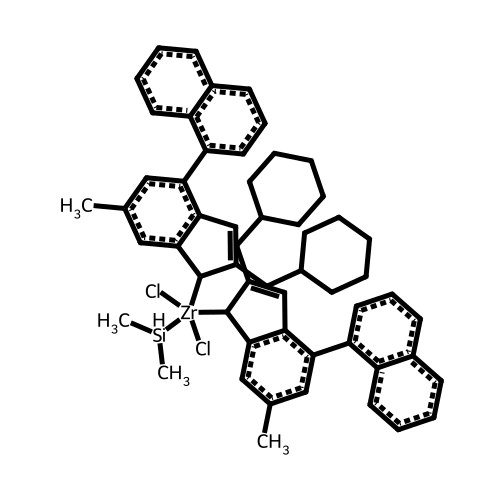 Cc1cc(-c2cccc3ccccc23)c2c(c1)[CH]([Zr]([Cl])([Cl])([CH]1C(CC3CCCCC3)=Cc3c(-c4cccc5ccccc45)cc(C)cc31)[SiH](C)C)C(CC1CCCCC1)=C2